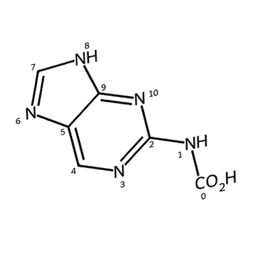 O=C(O)Nc1ncc2nc[nH]c2n1